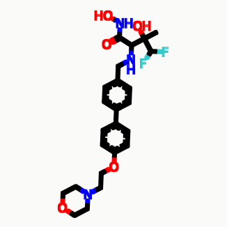 CC(O)(C(F)F)C(NCc1ccc(-c2ccc(OCCN3CCOCC3)cc2)cc1)C(=O)NO